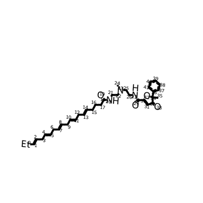 CCC=CCC=CCC=CCC=CCC=CCCCC(=O)NCCN(C)CCNC(=O)C1=CC(=O)C(C)(c2ccccc2)O1